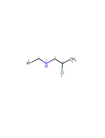 CC(C)CNCC(C)Cl